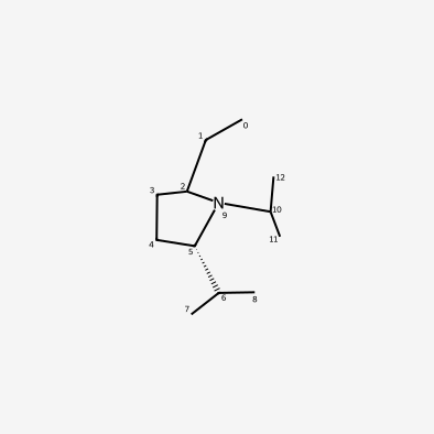 CCC1CC[C@@H](C(C)C)N1C(C)C